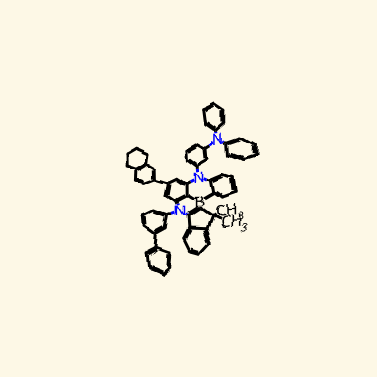 CC1(C)C2=C(c3ccccc31)N(c1cccc(-c3ccccc3)c1)c1cc(-c3ccc4c(c3)CCCC4)cc3c1B2c1ccccc1N3c1cccc(N(c2ccccc2)c2ccccc2)c1